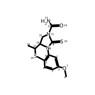 COc1ccc2c(c1)N1C(=S)N(C(N)=O)CC1C(C)S2